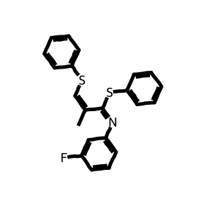 CC(=CSc1ccccc1)C(=Nc1cccc(F)c1)Sc1ccccc1